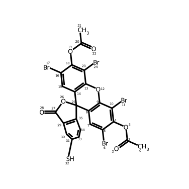 CC(=O)Oc1c(Br)cc2c(c1Br)Oc1c(cc(Br)c(OC(C)=O)c1Br)C21OC(=O)c2cc(S)ccc21